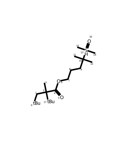 CC(C)(C)CC(C)(C(=O)OCCCC(C)(C)[SH](C)(C)=O)C(C)(C)C